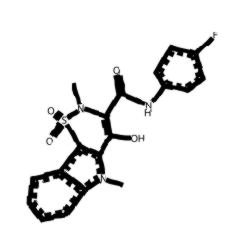 CN1C(C(=O)Nc2ccc(F)cc2)=C(O)c2c(c3ccccc3n2C)S1(=O)=O